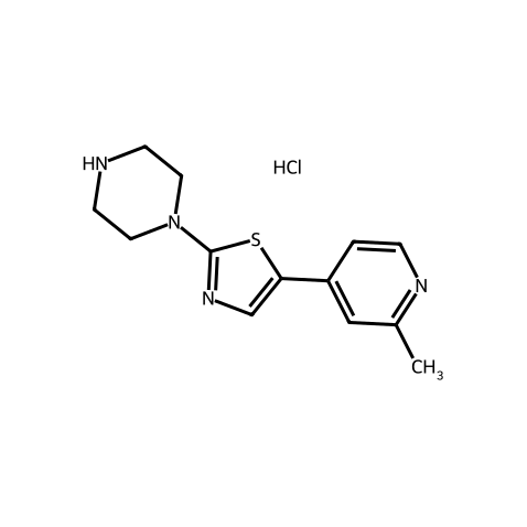 Cc1cc(-c2cnc(N3CCNCC3)s2)ccn1.Cl